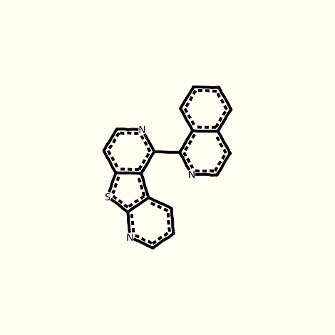 c1ccc2c(-c3nccc4sc5ncccc5c34)nccc2c1